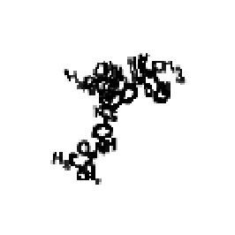 CC(C)OC(=O)NC1CCC(c2ncc(-c3ccc(NC(=O)N[C@@H](C)c4ccccn4)cc3S(=O)(=O)NC(C)(C)C)s2)CC1